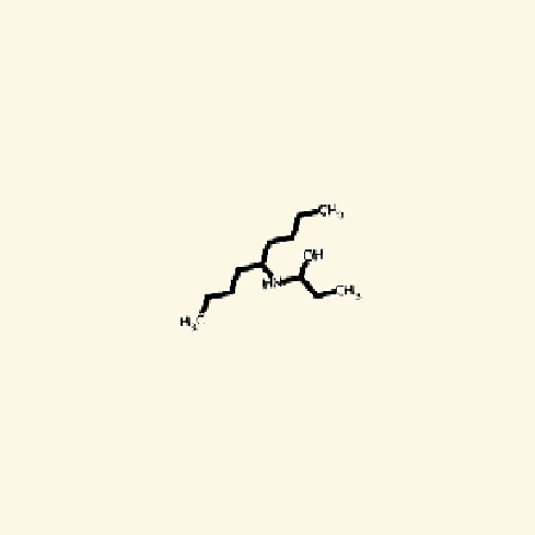 CCCCC(CCCC)NC(O)CC